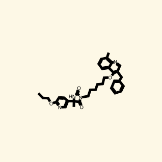 CCCOc1ccc(C2(C)NC(=O)N(CCCCCCOc3c(Cc4ccccc4)cnc4c(C)cccc34)C2=O)cn1